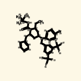 CCC1C[C@@H](N(Cc2cc(C(F)(F)F)cc(C(F)(F)F)c2)c2ncc(Br)cn2)C[C@@H](Cc2ccccc2)N1C(=O)OC(C)(C)C